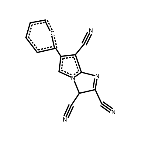 N#CC1=Nc2c(C#N)c(-c3ccccc3)cn2C1C#N